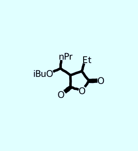 CCCC(OCC(C)C)C1C(=O)OC(=O)C1CC